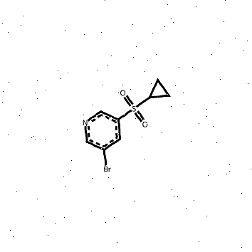 O=S(=O)(c1cncc(Br)c1)C1CC1